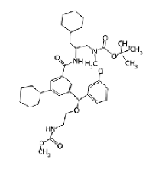 COC(=O)NCCOC(c1cccc(Cl)c1)c1cc(C(=O)NC(CC2CCCCC2)CN(C)C(=O)OC(C)(C)C)cc(C2CCCCC2)c1